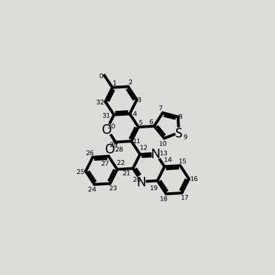 Cc1ccc2c(-c3ccsc3)c(-c3nc4ccccc4nc3-c3ccccc3)c(=O)oc2c1